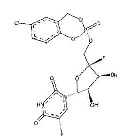 O=c1[nH]c(=O)n([C@@H]2O[C@](F)(COP3(=O)OCc4cc(Cl)ccc4O3)[C@@H](O)[C@H]2O)cc1F